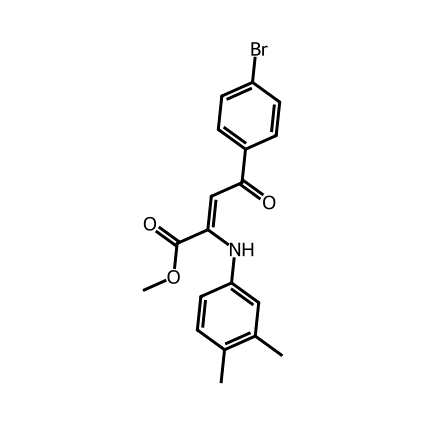 COC(=O)C(=CC(=O)c1ccc(Br)cc1)Nc1ccc(C)c(C)c1